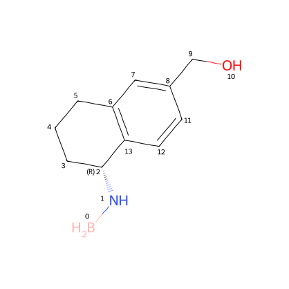 BN[C@@H]1CCCc2cc(CO)ccc21